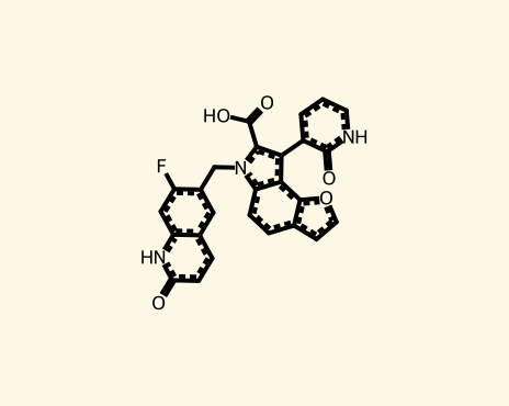 O=C(O)c1c(-c2ccc[nH]c2=O)c2c3occc3ccc2n1Cc1cc2ccc(=O)[nH]c2cc1F